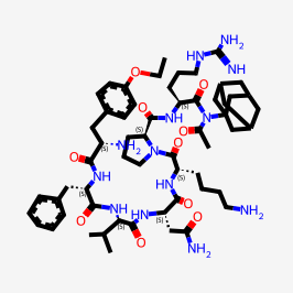 CCOc1ccc(C[C@H](N)C(=O)N[C@@H](Cc2ccccc2)C(=O)N[C@H](C(=O)N[C@@H](CC(N)=O)C(=O)N[C@@H](CCCCN)C(=O)N2CCC[C@H]2C(=O)N[C@@H](CCCNC(=N)N)C(=O)N(C(C)=O)C23CC4CC(CC(C4)C2)C3)C(C)C)cc1